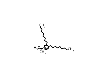 CCCCCCCCCc1cc[n+](C(C)C)cc1CCCCCCCCC